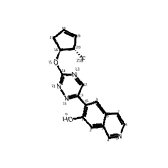 Oc1cc2cnccc2cc1-c1cnc(O[C@H]2CC=C[C@@H]2F)nn1